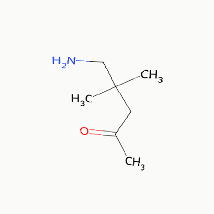 CC(=O)CC(C)(C)CN